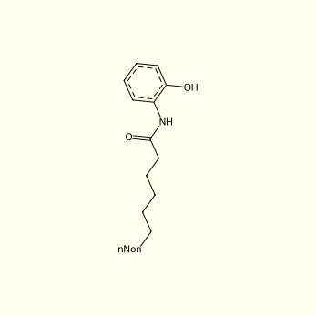 CCCCCCCCCCCCCCC(=O)Nc1ccccc1O